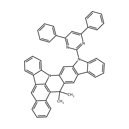 CC1(C)c2cc3c4ccccc4n(-c4nc(-c5ccccc5)cc(-c5ccccc5)n4)c3cc2-n2c3ccccc3c3cc4ccccc4c1c32